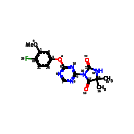 COc1cc(Oc2ncnc(N3C(=O)NC(C)(C)C3=O)n2)ccc1F